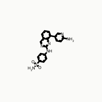 Nc1ccc(-c2cccc3cnc(Nc4ccc(S(N)(=O)=O)cc4)nc23)cn1